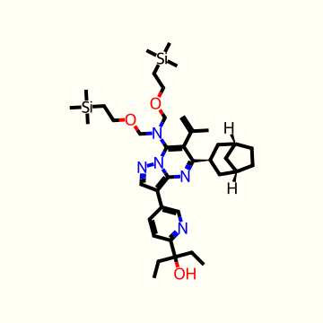 C=C(C)c1c([C@H]2C[C@@H]3CC[C@@H](C3)C2)nc2c(-c3ccc(C(O)(CC)CC)nc3)cnn2c1N(COCC[Si](C)(C)C)COCC[Si](C)(C)C